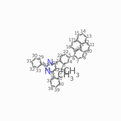 CC1(C)c2cc(-c3ccc4ccc5cccc6ccc3c4c56)ccc2-c2nc(-c3ccccc3)nc(-c3ccccc3)c21